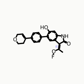 C/C(OF)=C1\C(=O)Nc2cc(O)c(-c3ccc(C4=CCOCC4)cc3)cc21